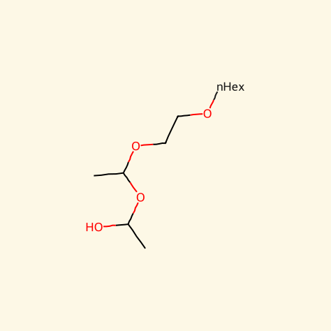 CCCCCCOCCOC(C)OC(C)O